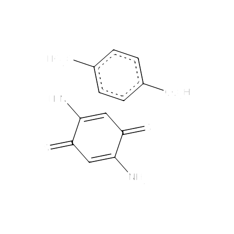 NC1=CC(=S)C(N)=CC1=S.O=C(O)c1ccc(C(=O)O)cc1